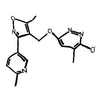 Cc1ccc(-c2noc(C)c2COc2cc(C)c(Cl)nn2)cn1